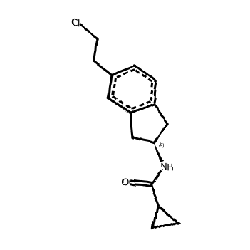 O=C(N[C@@H]1Cc2ccc(CCCl)cc2C1)C1CC1